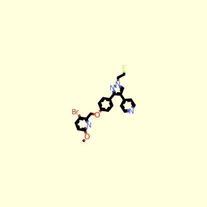 COc1ccc(Br)c(COc2ccc(-c3nn(CCF)cc3-c3ccncc3)cc2)n1